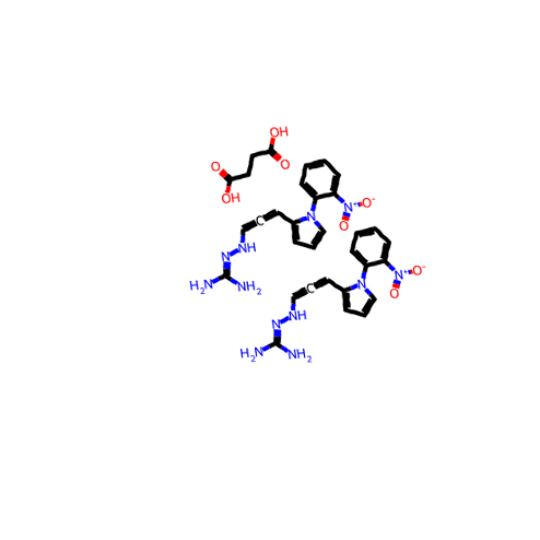 NC(N)=NNC=C=Cc1cccn1-c1ccccc1[N+](=O)[O-].NC(N)=NNC=C=Cc1cccn1-c1ccccc1[N+](=O)[O-].O=C(O)CCC(=O)O